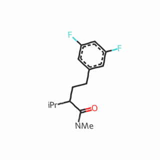 CNC(=O)C(CCc1cc(F)cc(F)c1)C(C)C